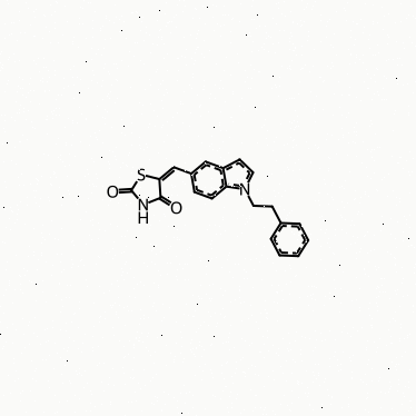 O=C1NC(=O)/C(=C\c2ccc3c(ccn3CCc3ccccc3)c2)S1